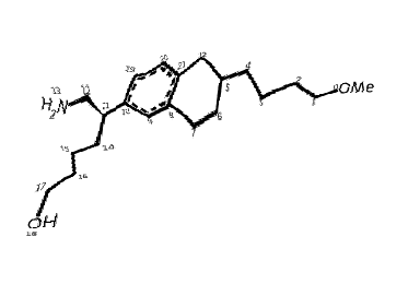 COCCCCC1CCc2cc([C@H](CN)CCCCO)ccc2C1